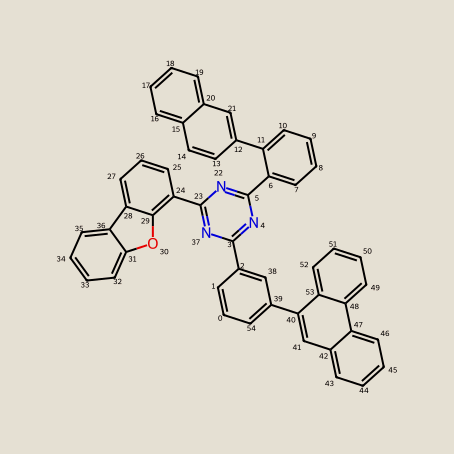 c1cc(-c2nc(-c3ccccc3-c3ccc4ccccc4c3)nc(-c3cccc4c3oc3ccccc34)n2)cc(-c2cc3ccccc3c3ccccc23)c1